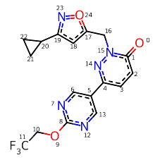 O=c1ccc(-c2cnc(OCC(F)(F)F)nc2)nn1Cc1cc(C2CC2)no1